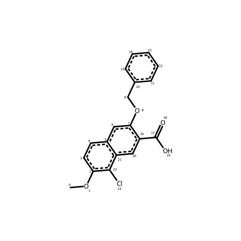 COc1ccc2cc(OCc3ccccc3)c(C(=O)O)cc2c1Cl